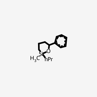 CCC[Si]1(C)CCCC(c2ccccc2)O1